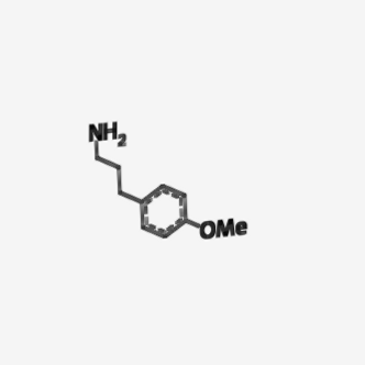 COc1ccc(CCCN)cc1